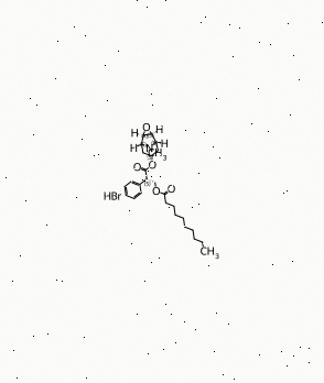 Br.CCCCCCCCCC(=O)OC[C@@H](C(=O)O[C@@H]1C[C@@H]2[C@H]3O[C@H]3[C@H](C1)N2C)c1ccccc1